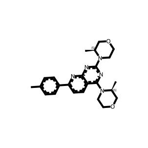 Cc1ccc(-c2ccc3c(N4CCOC[C@@H]4C)nc(N4CCOC[C@@H]4C)nc3n2)cc1